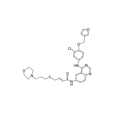 O=C(C=CCSCCCN1CCOCC1)Nc1ccc2ncnc(Nc3ccc(OCc4ccoc4)c(Cl)c3)c2c1